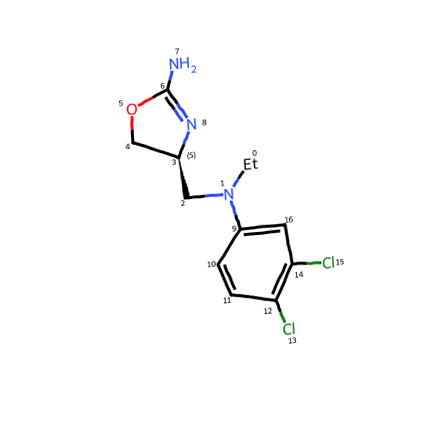 CCN(C[C@H]1COC(N)=N1)c1ccc(Cl)c(Cl)c1